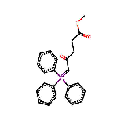 COC(=O)CCC(=O)C=P(c1ccccc1)(c1ccccc1)c1ccccc1